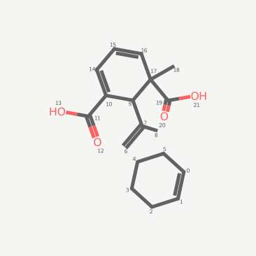 C1=CCCCC1.C=C(C)C1C(C(=O)O)=CC=CC1(C)C(=O)O